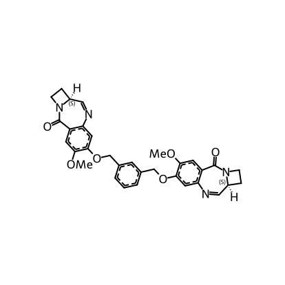 COc1cc2c(cc1OCc1cccc(COc3cc4c(cc3OC)C(=O)N3CC[C@H]3C=N4)c1)N=C[C@@H]1CCN1C2=O